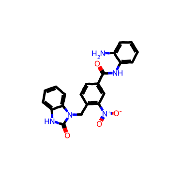 Nc1ccccc1NC(=O)c1ccc(Cn2c(=O)[nH]c3ccccc32)c([N+](=O)[O-])c1